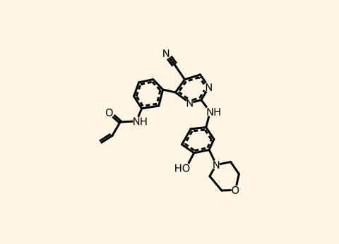 C=CC(=O)Nc1cccc(-c2nc(Nc3ccc(O)c(N4CCOCC4)c3)ncc2C#N)c1